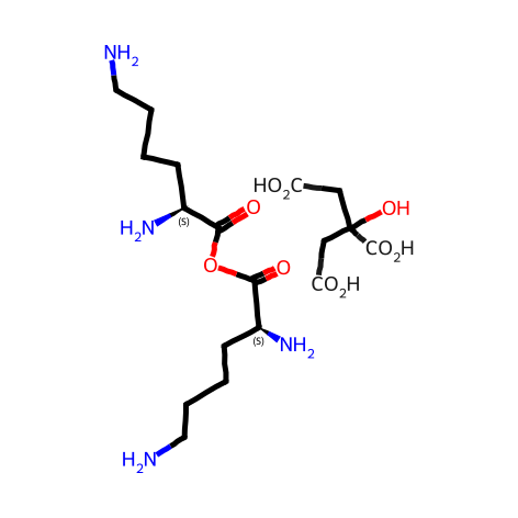 NCCCC[C@H](N)C(=O)OC(=O)[C@@H](N)CCCCN.O=C(O)CC(O)(CC(=O)O)C(=O)O